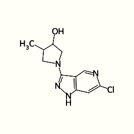 CC1CN(c2n[nH]c3cc(Cl)ncc23)CC1O